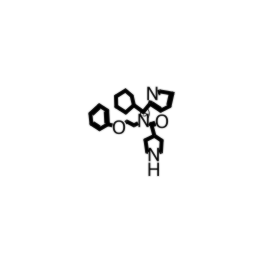 O=C(C1CCNCC1)N(CCOc1ccccc1)[C@H](c1ccccn1)C1CCCCC1